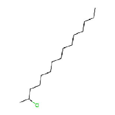 CCCCCCCCCCCCCC(C)Cl